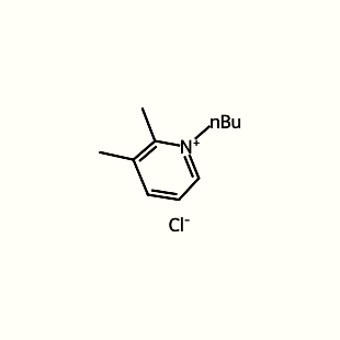 CCCC[n+]1cccc(C)c1C.[Cl-]